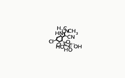 CN(C)c1[nH]c2cc(Cl)c(Cl)c([C@@H]3O[C@H](CO)[C@@H](O)[C@H]3O)c2c1C#N